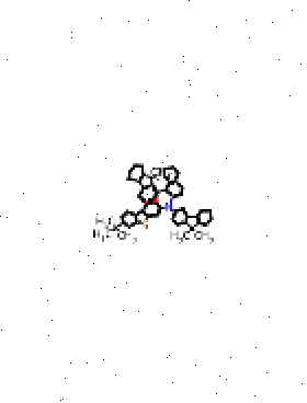 CC(C)(C)c1ccc2c(c1)sc1cc(N(c3ccc4c(c3)-c3ccccc3C4(C)C)c3ccc4ccccc4c3-c3cccc4c3C(C)(C)c3ccccc3-4)ccc12